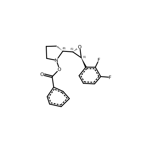 O=C(ON1CCC[C@@H]1[C@@H]1O[C@H]1c1cccc(F)c1F)c1ccccc1